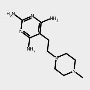 CN1CCN(CCc2c(N)nc(N)nc2N)CC1